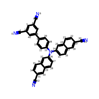 N#Cc1cc(C#N)cc(-c2ccc(N(c3ccc4cc(C#N)ccc4c3)c3ccc4cc(C#N)ccc4c3)cc2)c1